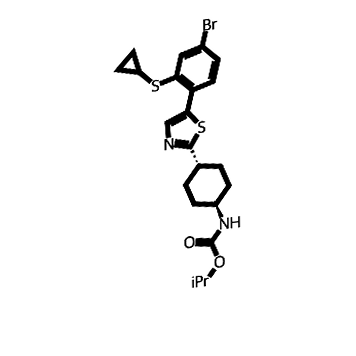 CC(C)OC(=O)N[C@H]1CC[C@H](c2ncc(-c3ccc(Br)cc3SC3CC3)s2)CC1